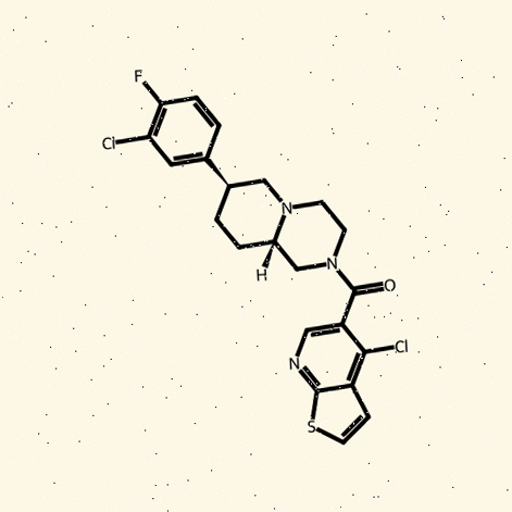 O=C(c1cnc2sccc2c1Cl)N1CCN2C[C@H](c3ccc(F)c(Cl)c3)CC[C@H]2C1